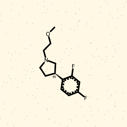 COCCN1CC[C@H](c2ccc(F)cc2F)C1